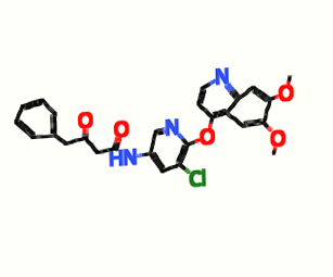 COc1cc2nccc(Oc3ncc(NC(=O)CC(=O)Cc4ccccc4)cc3Cl)c2cc1OC